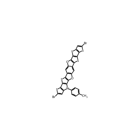 Cc1ccc(-n2c3cc(Br)sc3c3sc4c5cc6oc7c(sc8c9sc(Br)cc9sc78)c6cc5oc4c32)cc1